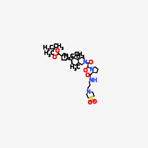 CC(C)(C)OC(=O)c1ccc(C2=CC[C@]3(C)CN(C(=O)C(=O)N4CCC[C@H]4C(=O)NCCCN4CCS(=O)(=O)CC4)CC[C@H]3C2(C)C)cc1